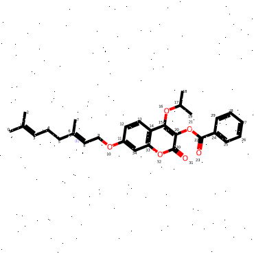 CC(C)=CCC/C(C)=C/COc1ccc2c(OC(C)C)c(OC(=O)c3ccccc3)c(=O)oc2c1